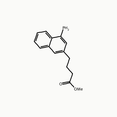 COC(=O)CCCc1cc(P)c2ccccc2c1